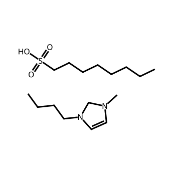 CCCCCCCCS(=O)(=O)O.CCCCN1C=CN(C)C1